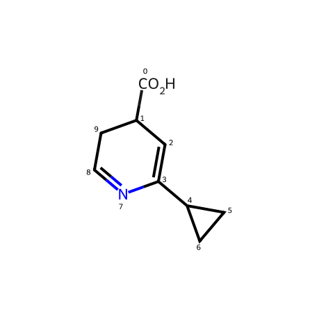 O=C(O)C1C=C(C2CC2)N=CC1